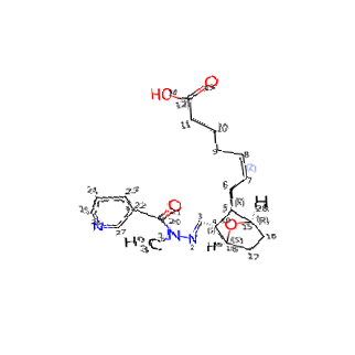 CN(N=C[C@@H]1[C@@H](C/C=C\CCCC(=O)O)[C@H]2CC[C@@H]1O2)C(=O)c1cccnc1